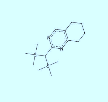 CS(C)(C)C(c1ncc2c(n1)CCCC2)S(C)(C)C